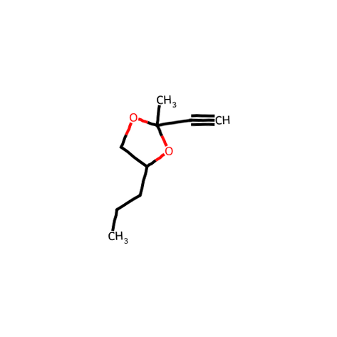 C#CC1(C)OCC(CCC)O1